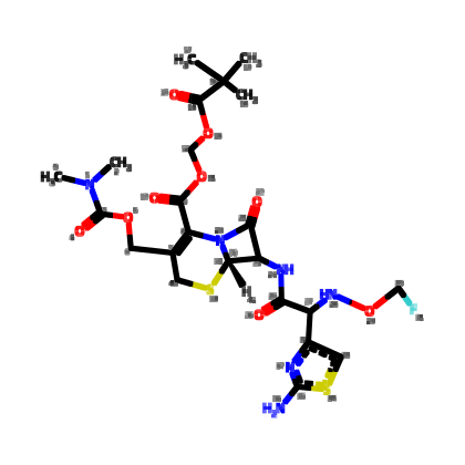 CN(C)C(=O)OCC1=C(C(=O)OCOC(=O)C(C)(C)C)N2C(=O)C(NC(=O)C(NOCF)c3csc(N)n3)[C@@H]2SC1